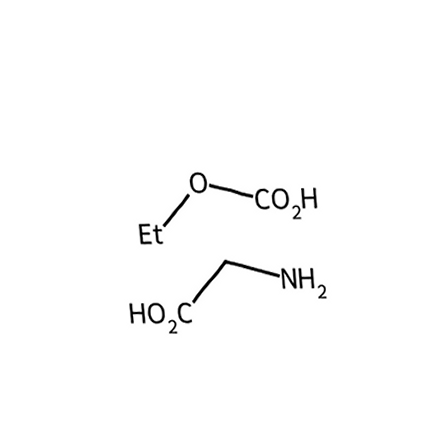 CCOC(=O)O.NCC(=O)O